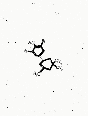 CC1C[C@H](c2cc(Br)c(O)c(Br)c2)CC(C)(C)C1